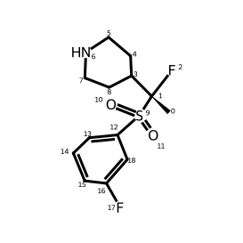 C[C@](F)(C1CCNCC1)S(=O)(=O)c1cccc(F)c1